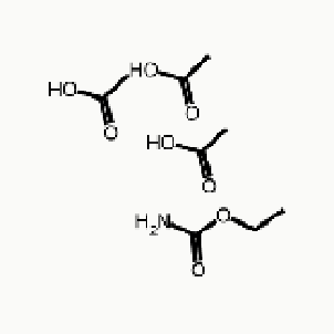 CC(=O)O.CC(=O)O.CC(=O)O.CCOC(N)=O